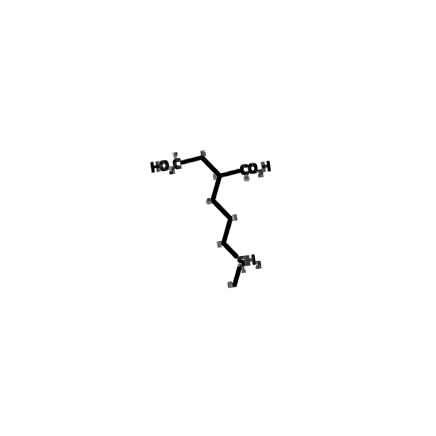 C[SiH2]CCCC(CC(=O)O)C(=O)O